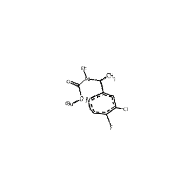 CCN(C(=O)OC(C)(C)C)C(C)c1cc(Cl)c(F)cn1